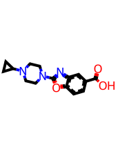 O=C(O)c1ccc2oc(N3CCN(C4CC4)CC3)nc2c1